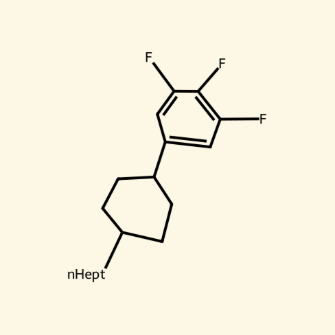 CCCCCCCC1CCC(c2cc(F)c(F)c(F)c2)CC1